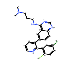 CN(C)CCCNc1ncnc2ccc(-c3cccnc3-c3cc(Cl)ccc3F)cc12